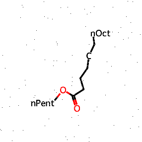 CCCCCCCCCCCCCC(=O)OCCCCC